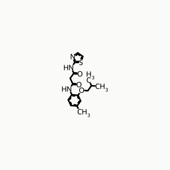 Cc1ccc(NC(=O)CC(=O)Nc2nccs2)c(OCC(C)C)c1